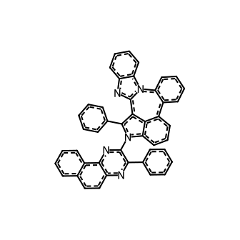 c1ccc(-c2nc3ccc4ccccc4c3nc2-n2c(-c3ccccc3)c3c4c(cccc42)c2ccccc2n2c4ccccc4nc32)cc1